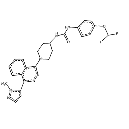 Cn1nccc1-c1nnc(N2CCC(NC(=O)Nc3ccc(OC(F)F)cc3)CC2)c2ccccc12